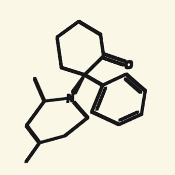 CC1CCN([C@@]2(c3ccccc3)CCCCC2=O)C(C)C1